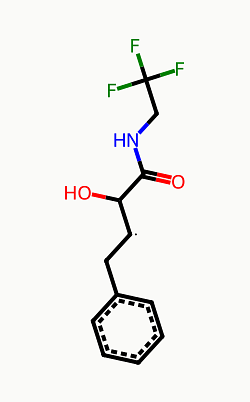 O=C(NCC(F)(F)F)C(O)[CH]Cc1ccccc1